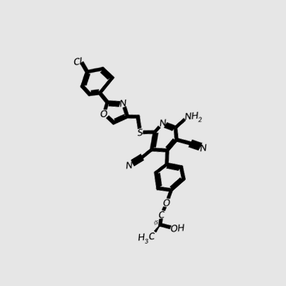 C[C@H](O)COc1ccc(-c2c(C#N)c(N)nc(SCc3coc(-c4ccc(Cl)cc4)n3)c2C#N)cc1